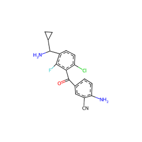 N#Cc1cc(C(=O)c2c(Cl)ccc(C(N)C3CC3)c2F)ccc1N